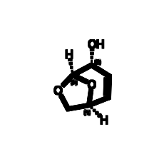 O[C@@H]1C=C[C@H]2CO[C@@H]1O2